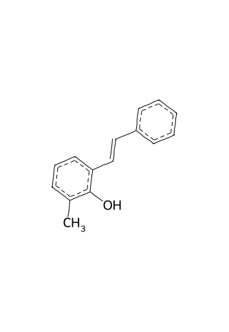 Cc1cccc(/C=C/c2ccccc2)c1O